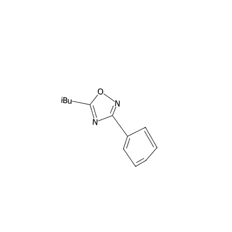 CCC(C)c1nc(-c2ccccc2)no1